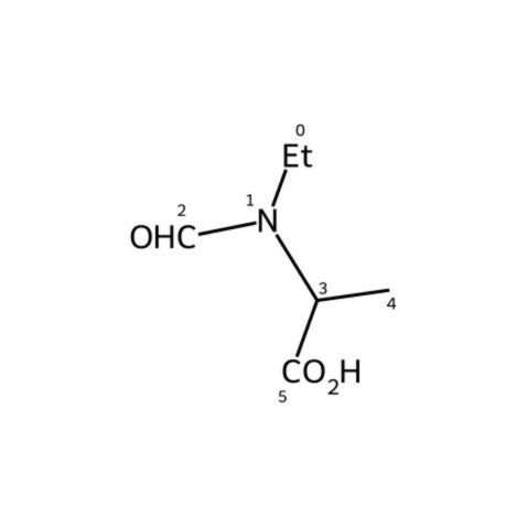 CCN(C=O)C(C)C(=O)O